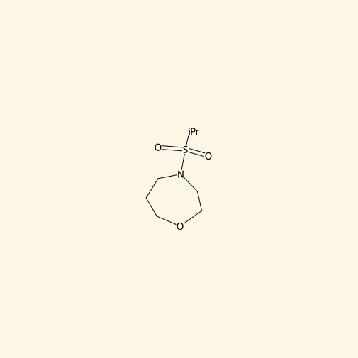 CC(C)S(=O)(=O)N1CCCOCC1